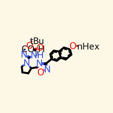 CCCCCCOc1ccc2cc(-c3noc(C4CCCN4C(=NC(=O)O)NC(=O)OC(C)(C)C)n3)ccc2c1